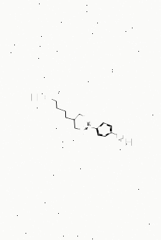 CCCCCC1COB(c2ccc(OC)cc2)OC1